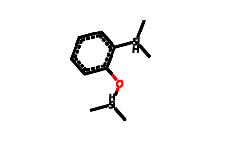 C[SiH](C)Oc1ccccc1[SiH](C)C